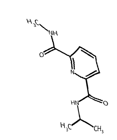 CNC(=O)c1cccc(C(=O)NC(C)C)n1